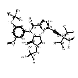 COc1cc(OC(F)(F)F)cc(N(C(=O)c2csc(C#C[Si](C(C)C)(C(C)C)C(C)C)n2)[C@@H]2CCN(CC(F)(F)F)C2=O)c1